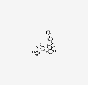 CCC1CC(c2nc3c(-c4ccc(-c5ccn(C)n5)nc4)cnn3c3c2C(=O)CCN3)CCN1C(=O)c1nnc[nH]1